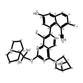 [2H]C([2H])(Oc1nc(N2CC3CC(C2)N3)c2cnc(-c3cc(O)cc4ccc(F)c(C#C)c34)c(F)c2n1)C12CCCN1CCC2